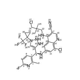 Cc1nc(F)ccc1[C@H](Nc1cc(Cl)c2ncc(C#N)c(NCC(C)(C)CCl)c2c1)C1=CN(C2(C(F)(F)F)CC2)NN1